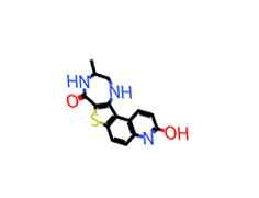 CC1CNc2c(sc3ccc4nc(O)ccc4c23)C(=O)N1